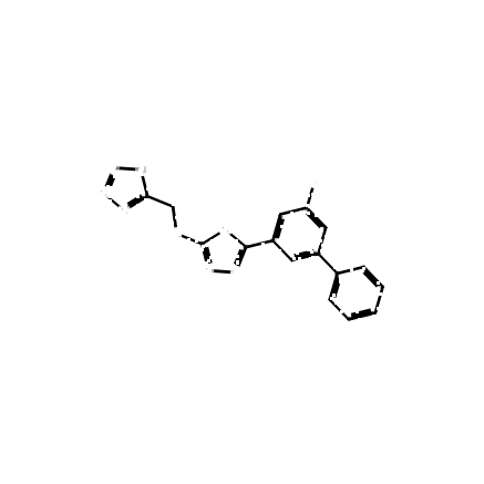 O=[N+]([O-])c1cc(-c2ccccc2)cc(-c2nnc(SCc3nnn[nH]3)[nH]2)c1